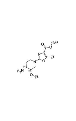 CCCCOC(=O)c1nc(N2CC[C@@H](N)[C@@H](OCC)C2)oc1CC